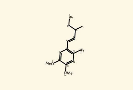 COc1cc(C=CC(C)[CH]C(C)C)c(C(C)C)cc1OC